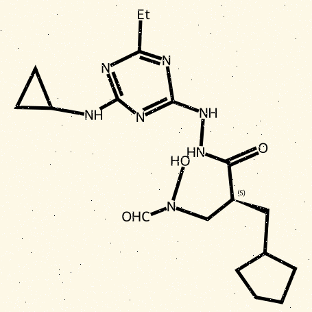 CCc1nc(NNC(=O)[C@@H](CC2CCCC2)CN(O)C=O)nc(NC2CC2)n1